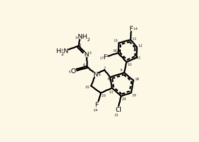 NC(N)=NC(=O)N1Cc2c(-c3ccc(F)cc3F)ccc(Cl)c2C(F)C1